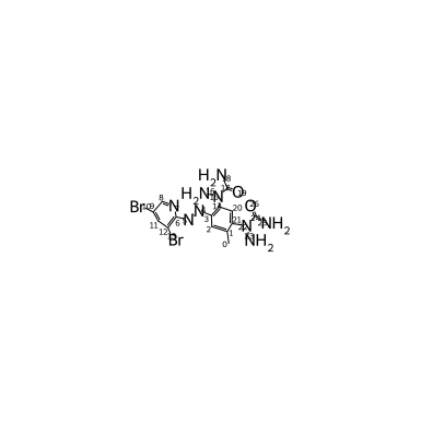 Cc1cc(N=Nc2ncc(Br)cc2Br)c(N(N)C(N)=O)cc1N(N)C(N)=O